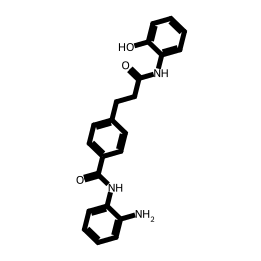 Nc1ccccc1NC(=O)c1ccc(CCC(=O)Nc2ccccc2O)cc1